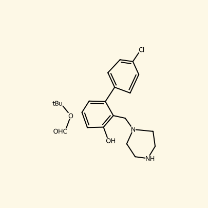 CC(C)(C)OC=O.Oc1cccc(-c2ccc(Cl)cc2)c1CN1CCNCC1